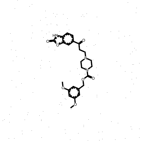 COc1cc(COC(=O)N2CCN(CCC(=O)c3ccc4[nH]c(=O)oc4c3)CC2)cc(OC)c1